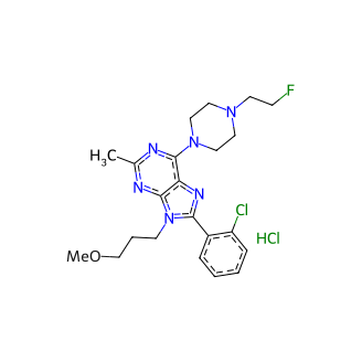 COCCCn1c(-c2ccccc2Cl)nc2c(N3CCN(CCF)CC3)nc(C)nc21.Cl